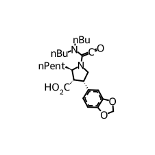 CCCCC[C@@H]1[C@@H](C(=O)O)[C@@H](c2ccc3c(c2)OCO3)CN1C(=C=O)N(CCCC)CCCC